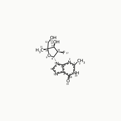 Cc1nc2c(ncn2[C@@H]2O[C@](C)(CO)[C@@H](O)[C@H]2F)c(=O)[nH]1